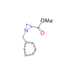 COC(=O)C1CN1Cc1ccccc1